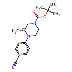 C[C@@H]1CN(C(=O)OC(C)(C)C)CCN1c1ccc(C#N)cc1